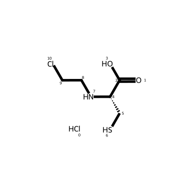 Cl.O=C(O)[C@H](CS)NCCCl